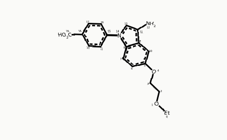 CCOCCOc1ccc2c(c1)c(N)cn2-c1ccc(C(=O)O)cc1